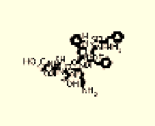 C[C@@H](O)[C@H](NC(=O)[C@H](CS)NC(=O)[C@@H](NC(=O)[C@H](CCCCN)NC(=O)[C@@H](Cc1c[nH]c2ccccc12)NC(=O)[C@H](Cc1ccccc1)NC(=O)[C@H](CS)NC(=O)[C@H](N)Cc1ccccc1)[C@@H](C)O)C(=O)O